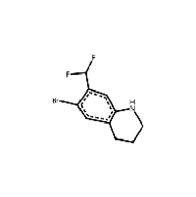 FC(F)c1cc2c(cc1Br)CCCN2